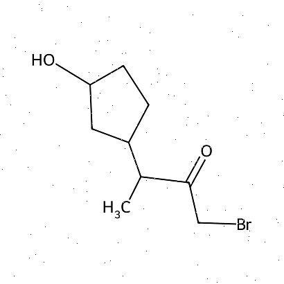 CC(C(=O)CBr)C1CCC(O)C1